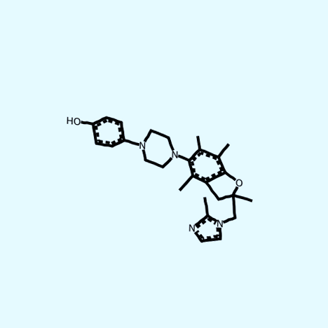 Cc1c(C)c(N2CCN(c3ccc(O)cc3)CC2)c(C)c2c1OC(C)(Cn1ccnc1C)C2